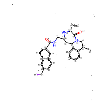 CCCCCC[C@@H]1N[C@H](CNC(=O)c2ccc3cc(CI)ccc3c2)CCN(C[C@@H](CC)c2ccccc2)C1=O